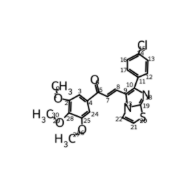 COc1cc(C(=O)C=Cc2c(-c3ccc(Cl)cc3)nc3sccn23)cc(OC)c1OC